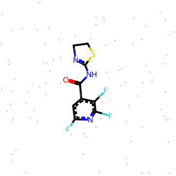 O=C(NC1=NCCS1)c1cc(F)nc(F)c1F